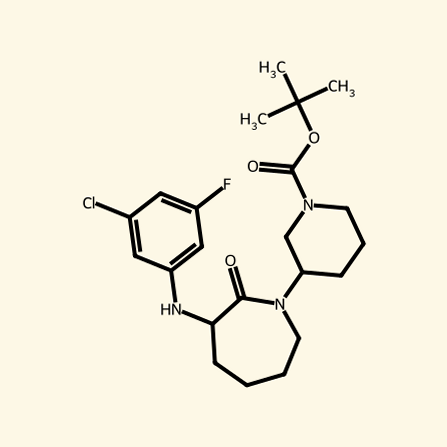 CC(C)(C)OC(=O)N1CCCC(N2CCCCC(Nc3cc(F)cc(Cl)c3)C2=O)C1